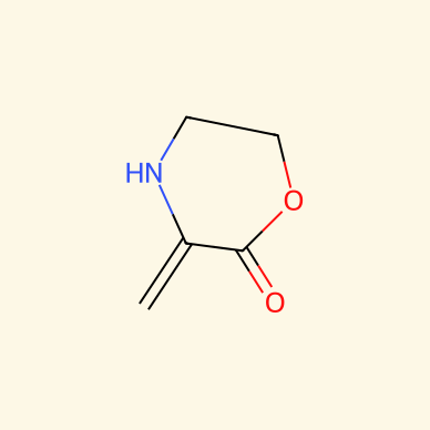 C=C1NCCOC1=O